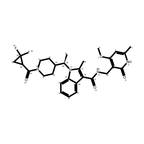 COc1cc(C)[nH]c(=O)c1CNC(=O)c1c(C)n([C@H](C)C2CCN(C(=O)C3CC3(F)F)CC2)c2ccccc12